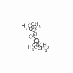 Cc1cc(C(=O)OC2COC(C)(C)OC2)ccc1C(C)(C)C